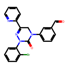 O=Cc1cccc(N2CC(c3ccccn3)=NN(c3ccccc3Br)C2=O)c1